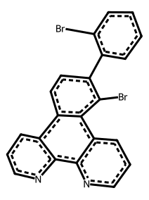 Brc1ccccc1-c1ccc2c3cccnc3c3ncccc3c2c1Br